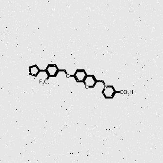 O=C(O)C1=CCCN(CC2=Cc3ccc(OCc4ccc(C5CCCC5)c(C(F)(F)F)c4)cc3OC2)C1